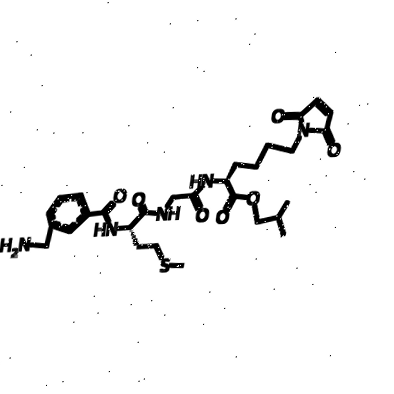 CSCC[C@H](NC(=O)c1cccc(CN)c1)C(=O)NCC(=O)N[C@@H](CCCCN1C(=O)C=CC1=O)C(=O)OCC(C)C